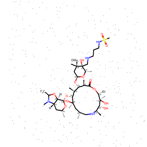 CC[C@H]1OC(=O)[C@H](C)[C@@H](O[C@H]2C[C@@](C)(OC)[C@](O)(CNCCCNS(C)(=O)=O)[C@H](C)O2)[C@H](C)[C@@H](O[C@@H]2O[C@H](C)C[C@H]3[C@H]2OC(C(F)(F)F)N3C)[C@](C)(O)C[C@@H](C)CN[C@H](C)[C@@H](O)[C@]1(C)O